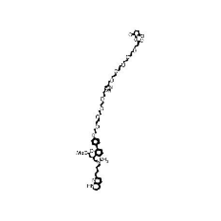 COC(=O)C[C@H](CN(C)CCCCc1ccc2c(n1)NCCC2)c1cccc(-c2ccc(OCCOCCOCCOCCOCCn3cc(COCCOCCOCCOCCOCCC(=O)ON4C(=O)CCC4=O)nn3)cc2)c1